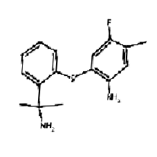 Cc1cc(N)c(Sc2ccccc2C(C)(C)N)cc1F